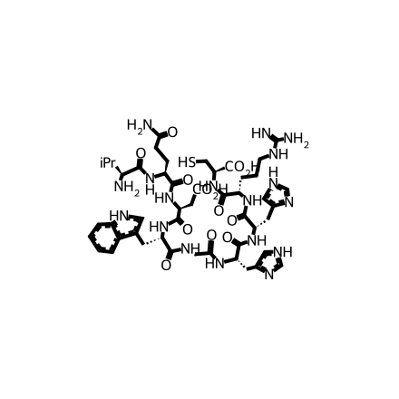 CC(C)[C@H](N)C(=O)N[C@@H](CCC(N)=O)C(=O)N[C@@H](CC(=O)O)C(=O)N[C@@H](Cc1c[nH]c2ccccc12)C(=O)NCC(=O)N[C@@H](Cc1c[nH]cn1)C(=O)N[C@@H](Cc1c[nH]cn1)C(=O)N[C@@H](CCCNC(=N)N)C(=O)N[C@@H](CS)C(=O)O